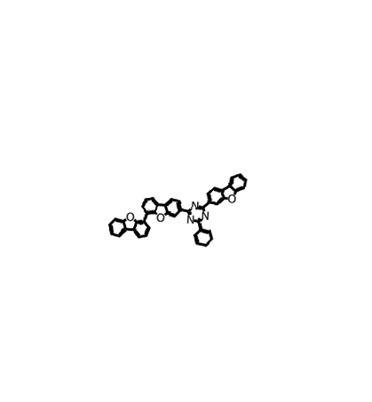 C1=CC(c2nc(-c3ccc4c(c3)oc3ccccc34)nc(-c3ccc4c(c3)oc3c(-c5cccc6c5oc5ccccc56)cccc34)n2)=CCC1